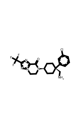 NC[C@]1(c2cccc(Cl)c2)CC[C@H](N2CCn3nc(C(F)(F)F)nc3C2=O)CC1